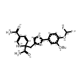 CC(C)COc1cc(-c2nc(CC3(C(N)=O)C=CC(C(N)=O)=CN3)co2)ccc1OC(F)F